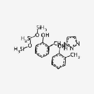 Cc1ccccc1O.Cc1ccccc1O.[SiH3]O[SiH2]O[SiH3].c1c[nH]nn1